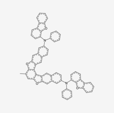 Cc1cc2oc3cc4cc(N(c5ccccc5)c5cccc6c5oc5ccccc56)ccc4cc3c2c2c1oc1cc3cc(N(c4ccccc4)c4cccc5c4oc4ccccc45)ccc3cc12